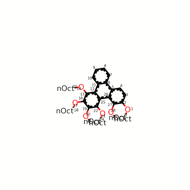 CCCCCCCCOc1ccc2c3ccccc3c3c(OCCCCCCCC)c(OCCCCCCCC)c(OCCCCCCCC)c(OCCCCCCCC)c3c2c1OCCCCCCCC